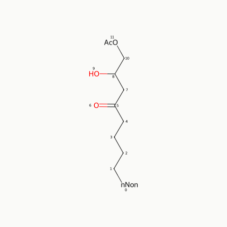 CCCCCCCCCCCCCC(=O)CC(O)COC(C)=O